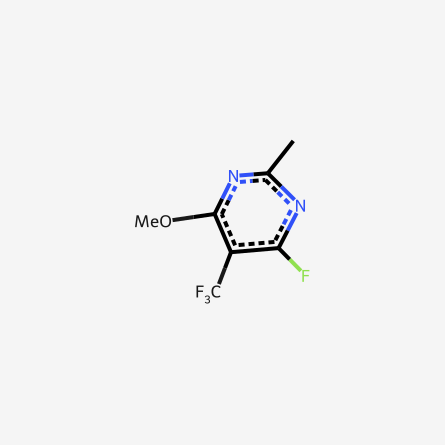 COc1nc(C)nc(F)c1C(F)(F)F